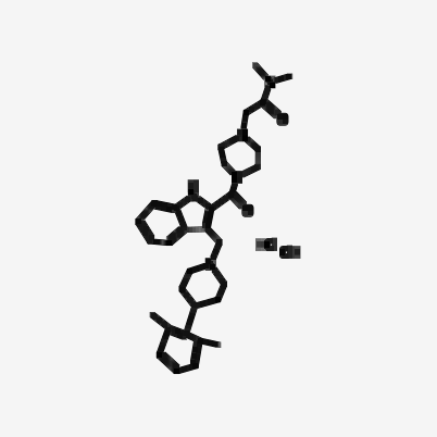 Cc1cccc(C)c1C1CCN(Cc2c(C(=O)N3CCN(CC(=O)N(C)C)CC3)[nH]c3ccccc23)CC1.Cl.Cl